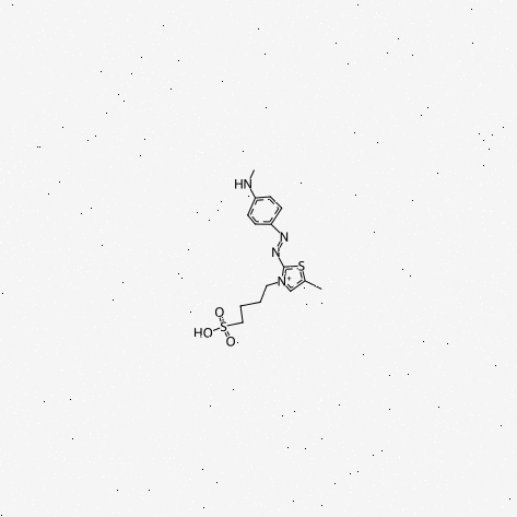 CNc1ccc(/N=N/c2sc(C)c[n+]2CCCCS(=O)(=O)O)cc1